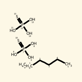 C.CCCCC.OP(O)(O)=S.OP(O)(O)=S